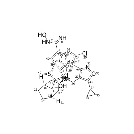 N=C(NO)c1cc(F)c2nc([C@@]3(O)[C@@H]4CC[C@H]3C[C@@H](OCc3c(-c5c(Cl)cccc5Cl)noc3C3CC3)C4)sc2c1